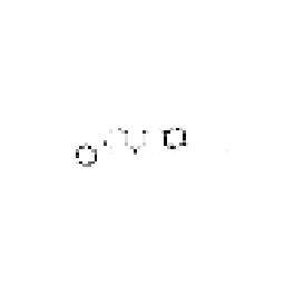 O=Cc1ccc(OC2OC3COC(c4ccccc4)OC3C(O)C2O)cc1